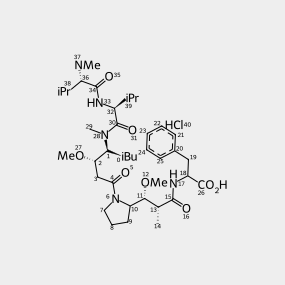 CC[C@H](C)[C@@H]([C@H](CC(=O)N1CCCC1[C@H](OC)[C@@H](C)C(=O)NC(Cc1ccccc1)C(=O)O)OC)N(C)C(=O)[C@@H](NC(=O)[C@@H](NC)C(C)C)C(C)C.Cl